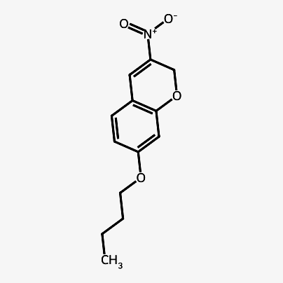 CCCCOc1ccc2c(c1)OCC([N+](=O)[O-])=C2